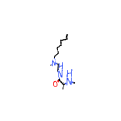 CCCCCCCN(C)CCNC(=O)[C@H](C)NC